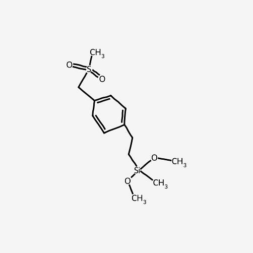 CO[Si](C)(CCc1ccc(CS(C)(=O)=O)cc1)OC